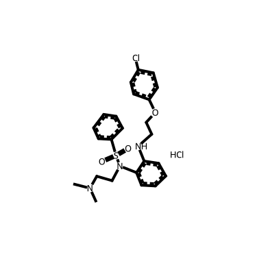 CN(C)CCN(c1ccccc1NCCOc1ccc(Cl)cc1)S(=O)(=O)c1ccccc1.Cl